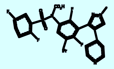 CC(C)c1cc(N(C(=O)O)S(=O)(=O)c2cc(F)ccc2F)c(F)c(-c2nn(C)cc2-c2ccncc2)c1F